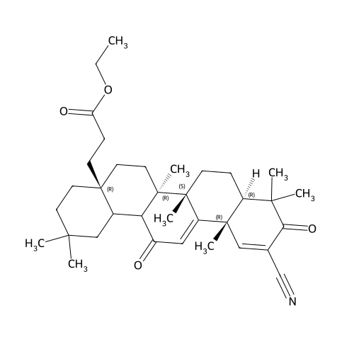 CCOC(=O)CC[C@]12CCC(C)(C)CC1C1C(=O)C=C3[C@@]4(C)C=C(C#N)C(=O)C(C)(C)[C@@H]4CC[C@@]3(C)[C@]1(C)CC2